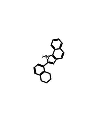 c1cc2c(c(-c3cc4ccc5ccccc5c4[nH]3)c1)CCCC2